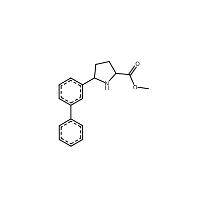 COC(=O)C1CCC(c2cccc(-c3ccccc3)c2)N1